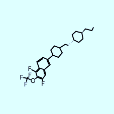 CCC[C@H]1CC[C@H](CCC2CCC(c3ccc4c(F)c(OC(F)(F)F)c(F)cc4c3)CC2)CC1